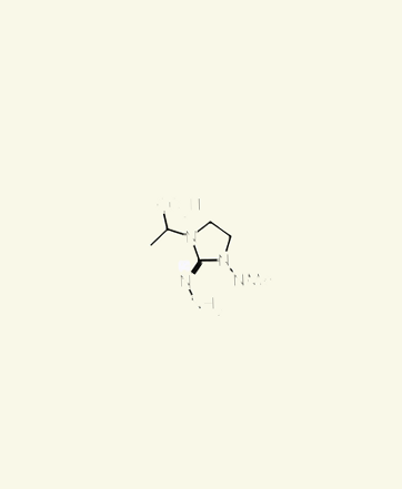 CNN1CCN(C(C)C(=O)O)/C1=N/N